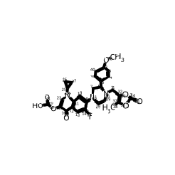 COc1ccc(C2CN(c3cc4c(cc3F)c(=O)c(OC(=O)O)cn4C3CC3)CCN2Cc2oc(=O)oc2C)cc1